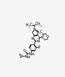 CC(C)N1Cc2nc(-c3ccc(NC(=O)NC4CC4)cc3F)nc(N3CCOC[C@@H]3C)c2C1